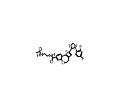 CC(=O)NCCNC(=O)c1ccc2c(c1)OCCc1cc(-c3ncnn3-c3ccc(F)cc3F)sc1-2